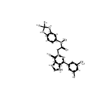 CCN(C(=O)Cn1nc(-c2cc(F)cc(C(F)(F)F)c2)c2[nH]cnc2c1=O)c1ccc2c(c1)OC(F)(F)O2